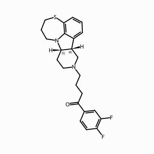 O=C(CCCN1CC[C@H]2[C@@H](C1)c1cccc3c1N2CCCS3)c1ccc(F)c(F)c1